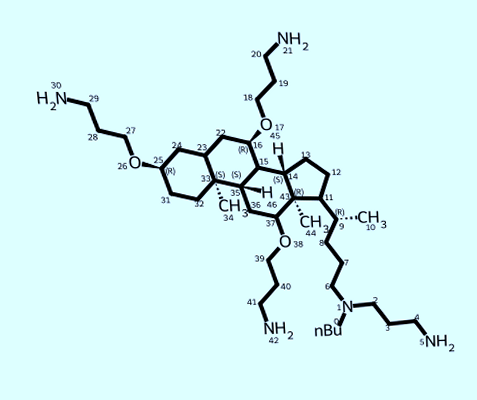 CCCCN(CCCN)CCC[C@@H](C)C1CC[C@H]2C3[C@H](OCCCN)CC4C[C@H](OCCCN)CC[C@]4(C)[C@H]3CC(OCCCN)[C@]12C